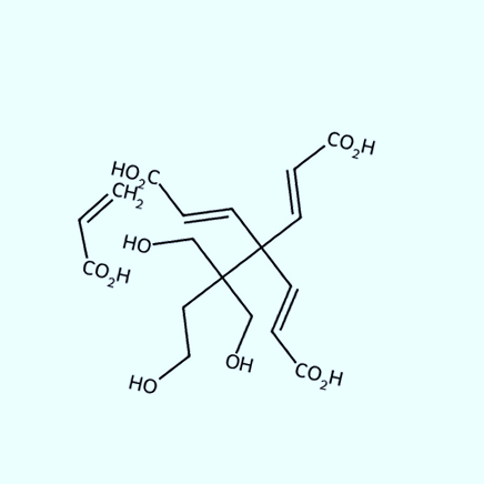 C=CC(=O)O.O=C(O)C=CC(C=CC(=O)O)(C=CC(=O)O)C(CO)(CO)CCO